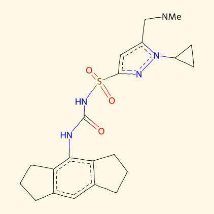 CNCc1cc(S(=O)(=O)NC(=O)Nc2c3c(cc4c2CCC4)CCC3)nn1C1CC1